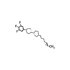 C/C=C/CCCC[C@H]1CC[C@H]([C@H]2CC[C@H](c3cc(F)c(F)c(F)c3)CC2)CC1